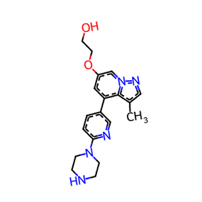 Cc1cnn2cc(OCCO)cc(-c3ccc(N4CCNCC4)nc3)c12